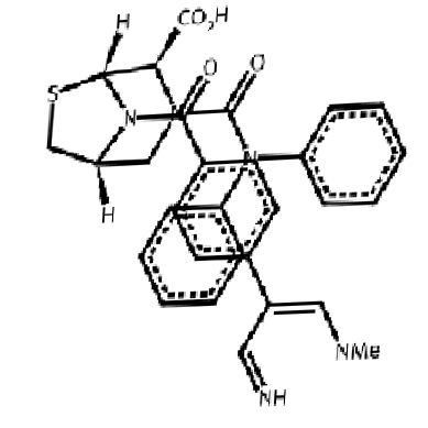 CN/C=C(\C=N)c1ccc(C(=O)N2[C@H]3CS[C@@H]2[C@@H](C(=O)O)N(C(=O)N(c2ccccc2)c2ccccc2)C3)cc1